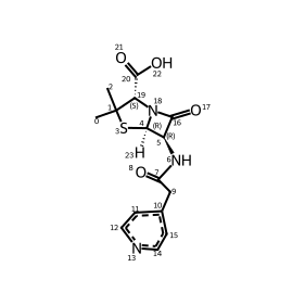 CC1(C)S[C@@H]2[C@H](NC(=O)Cc3ccncc3)C(=O)N2[C@H]1C(=O)O